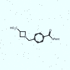 CCCCCC(=O)c1ccc(CN2CC(C(=O)O)C2)cc1